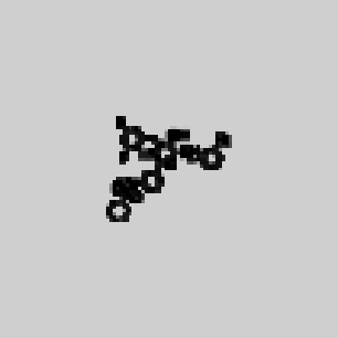 CCc1cccc(CNC[C@H](O)[C@H](Cc2cc(F)cc(F)c2)NC(=O)c2cccc(NS(=O)(=O)C3CCCCC3)c2)c1